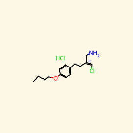 CCCCOc1ccc(CC/C(=C\Cl)CN)cc1.Cl